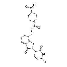 O=C1CCC(N2Cc3c(CCC(=O)N4CCC(C(=O)O)CC4)cccc3C2=O)C(=O)N1